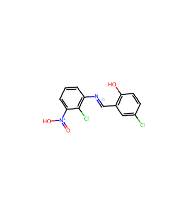 O=[N+](O)c1cccc(/N=C/c2cc(Cl)ccc2O)c1Cl